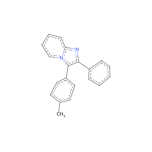 Cc1ccc(-c2c(-c3ccccc3)nc3ccccn23)cc1